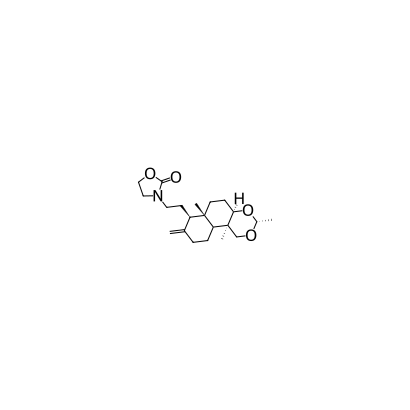 C=C1CCC2[C@]3(C)CO[C@@H](C)O[C@@H]3CC[C@@]2(C)[C@@H]1CCN1CCOC1=O